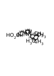 CC1(C)CCC(C)(C)C2CC(c3nccc(N4CCN(C(=O)O)CC4)n3)CCC21